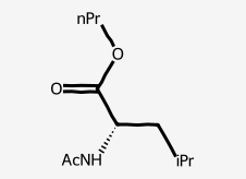 CCCOC(=O)[C@H](CC(C)C)NC(C)=O